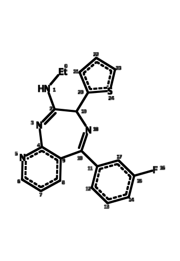 CCNC1=Nc2ncccc2C(c2cccc(F)c2)=NC1c1cccs1